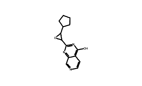 Oc1nc(C2OC2C2CCCC2)nc2cnccc12